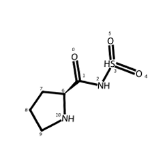 O=C(N[SH](=O)=O)[C@@H]1CCCN1